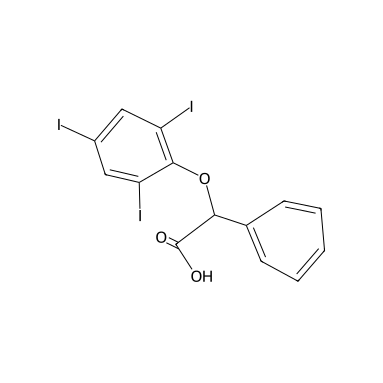 O=C(O)C(Oc1c(I)cc(I)cc1I)c1ccccc1